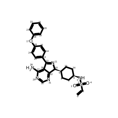 C=CS(=O)(=O)N[C@H]1CC[C@@H](C2N=C(c3ccc(Oc4ccccc4)cc3)c3c(N)ncnc32)CC1